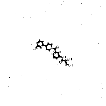 CCc1cccc(C2CCN(C(=O)c3cccc(NC(=O)C(O)CO)c3)CC2)c1